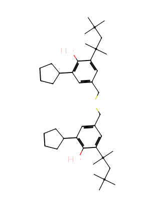 CC(C)(C)CC(C)(C)c1cc(CSCc2cc(C3CCCC3)c(O)c(C(C)(C)CC(C)(C)C)c2)cc(C2CCCC2)c1O